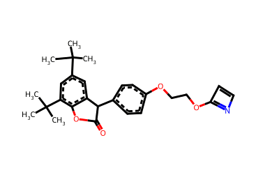 CC(C)(C)c1cc2c(c(C(C)(C)C)c1)OC(=O)C2c1ccc(OCCOC2=NC=C2)cc1